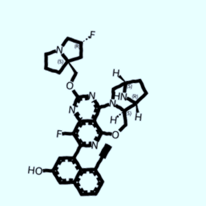 C#Cc1cccc2cc(O)cc(-c3nc4c5c(nc(OC[C@@]67CCCN6C[C@H](F)C7)nc5c3F)N3C[C@@H]5CC[C@@H](N5)[C@H]3CO4)c12